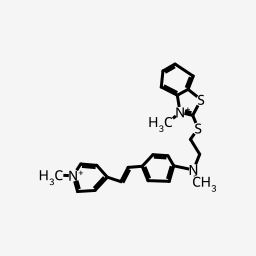 CN(CCSc1sc2ccccc2[n+]1C)c1ccc(/C=C/c2cc[n+](C)cc2)cc1